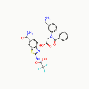 NC(=O)c1ccc2nc(N)sc2c1.NCc1cccc(N(CC(=O)O)C(=O)c2ccccc2)c1.O=C(O)C(F)(F)F